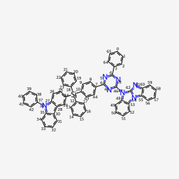 c1ccc(-c2nc(-c3ccc([Si](c4ccccc4)(c4ccccc4)c4ccc5c(c4)c4ccccc4n5-c4ccccc4)cc3)nc(-n3c4ccccc4n4c5ccccc5nc34)n2)cc1